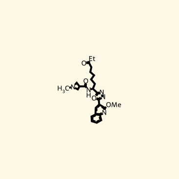 CCC(=O)CCCCCC(NC(=O)C1CN(C)C1)c1nnc(-c2cc3ccccc3nc2OC)o1